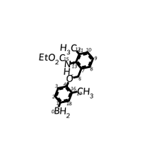 Bc1ccc(OCc2cccc(C)c2NC(=O)OCC)c(C)c1